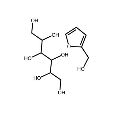 OCC(O)C(O)C(O)C(O)CO.OCc1ccco1